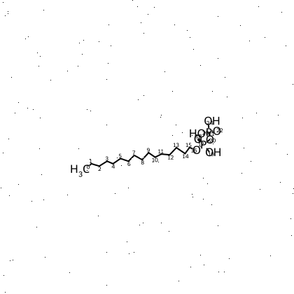 CCCCCCCCCCCCCCCCOP(=O)(O)OP(=O)(O)O